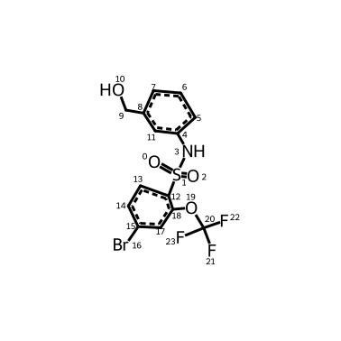 O=S(=O)(Nc1cccc(CO)c1)c1ccc(Br)cc1OC(F)(F)F